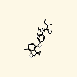 CC[C@@H](C)C(=O)Nc1ccc(Oc2ccc(C)c3c2C2(CC2)CO3)cn1